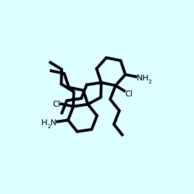 CCCCC1(CC2(CCCC)CCCC(N)C2(Cl)CCCC)CCCC(N)C1(Cl)CCCC